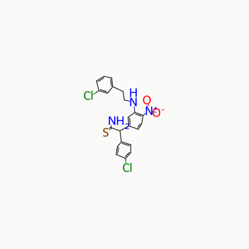 NC(=S)C(c1ccc(Cl)cc1)c1ccc([N+](=O)[O-])c(NCCc2cccc(Cl)c2)c1